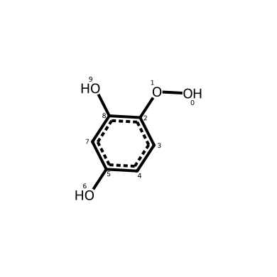 OOc1ccc(O)cc1O